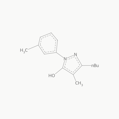 CCCCc1nn(-c2cccc(C)c2)c(O)c1C